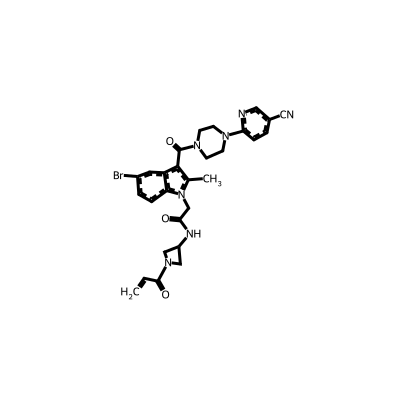 C=CC(=O)N1CC(NC(=O)Cn2c(C)c(C(=O)N3CCN(c4ccc(C#N)cn4)CC3)c3cc(Br)ccc32)C1